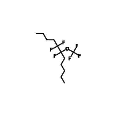 CCCCCC(F)(OC(F)(F)F)C(F)(F)CCCC